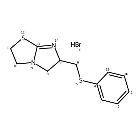 Br.c1ccc(SCC2CN3CCSC3=N2)cc1